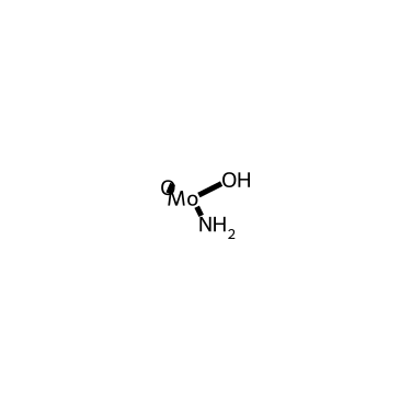 [NH2][Mo](=[O])[OH]